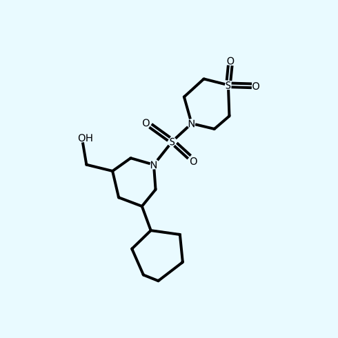 O=S1(=O)CCN(S(=O)(=O)N2CC(CO)CC(C3CCCCC3)C2)CC1